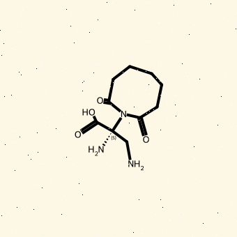 NC[C@@](N)(C(=O)O)N1C(=O)CCCCCC1=O